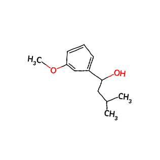 COc1cccc(C(O)CC(C)C)c1